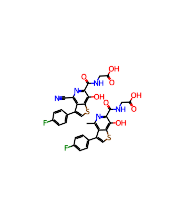 Cc1nc(C(=O)NCC(=O)O)c(O)c2scc(-c3ccc(F)cc3)c12.N#Cc1nc(C(=O)NCC(=O)O)c(O)c2scc(-c3ccc(F)cc3)c12